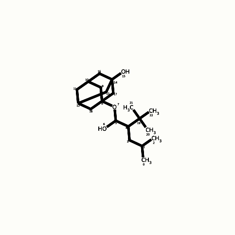 CC(C)CC(C(O)OC12CC3CC(CC(O)(C3)C1)C2)C(C)(C)C